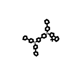 CC1(C)c2ccccc2-c2ccc(N(c3ccc(-c4ccccc4)cc3)c3ccc(-c4ccc(N(c5ccc(-c6ccccc6)cc5)c5ccc(-c6ccccc6)cc5)cc4)cc3)cc21